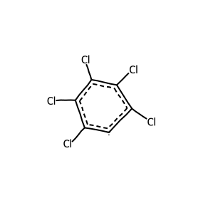 Clc1[c]c(Cl)c(Cl)c(Cl)c1Cl